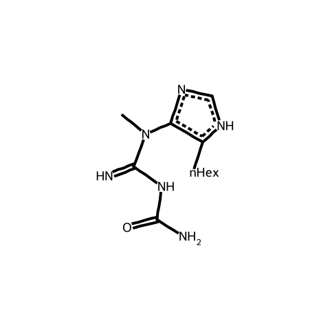 CCCCCCc1[nH]cnc1N(C)C(=N)NC(N)=O